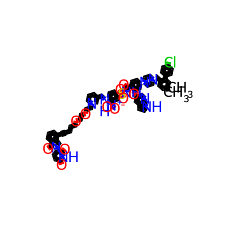 CC1(C)CCC(CN2CCN(c3ccc(C(=O)NS(=O)(=O)c4ccc(NCC5CCCN(CCOCCOCCCC#Cc6cccc7c6CN(C6CCC(=O)NC6=O)C7=O)C5)c([N+](=O)[O-])c4)c(Oc4cnc5[nH]ccc5c4)c3)CC2)=C(c2ccc(Cl)cc2)C1